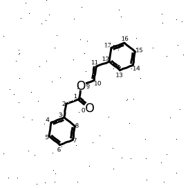 O=C(Cc1ccccc1)OC=Cc1ccccc1